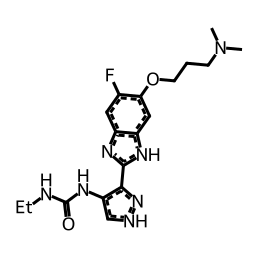 CCNC(=O)Nc1c[nH]nc1-c1nc2cc(F)c(OCCCN(C)C)cc2[nH]1